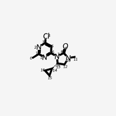 Cc1nc(Cl)cc(N2C(=O)N(C)C[C@@H]2C2CC2)n1